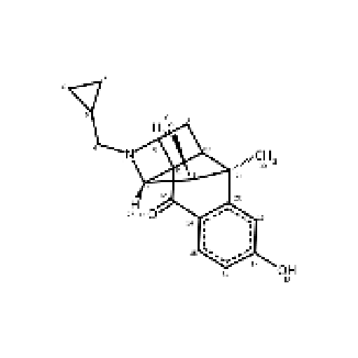 C[C@H]1[C@@H]2N(CC3CC3)C3CC4C32C(=O)c2ccc(O)cc2[C@]41C